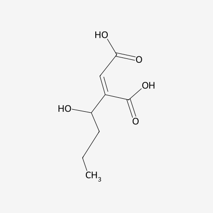 CCCC(O)C(=CC(=O)O)C(=O)O